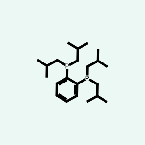 CC(C)CP(CC(C)C)c1ccccc1P(CC(C)C)CC(C)C